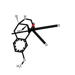 COc1ccc2c(c1)[C@]13CCN[C@H](C2)[C@]1(O)CCCNC(=O)NC(=O)C3